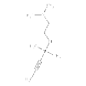 CC#CC(C)(C)NCCN(C)C